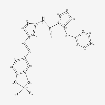 O=C(Nc1nc(/C=C/c2ccc3c(c2)OC(F)(F)O3)cs1)c1cccn1Cc1ccncc1